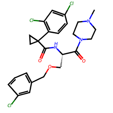 CN1CCN(C(=O)[C@H](COCc2cccc(Cl)c2)NC(=O)C2(c3ccc(Cl)cc3Cl)CC2)CC1